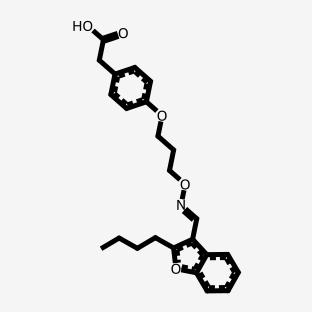 CCCCc1oc2ccccc2c1C=NOCCCOc1ccc(CC(=O)O)cc1